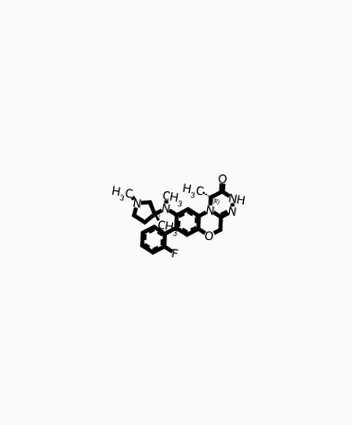 C[C@@H]1C(=O)NN=C2COc3cc(-c4ccccc4F)c(N(C)[C@]4(C)CCN(C)C4)cc3N21